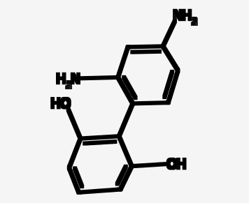 Nc1ccc(-c2c(O)cccc2O)c(N)c1